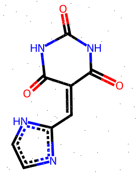 O=C1NC(=O)C(=Cc2ncc[nH]2)C(=O)N1